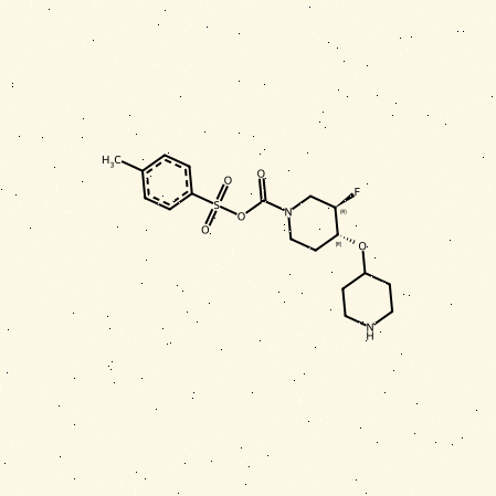 Cc1ccc(S(=O)(=O)OC(=O)N2CC[C@@H](OC3CCNCC3)[C@H](F)C2)cc1